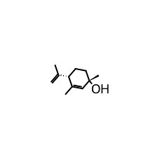 C=C(C)[C@@H]1CC[C@](C)(O)C=C1C